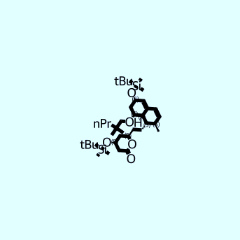 CCCC(C)(C)CO[C@H]1C[C@H](O[Si](C)(C)C(C)(C)C)C=C2C=C[C@@H](C)[C@H](CC[C@@H]3C[C@@H](O[Si](C)(C)C(C)(C)C)CC(=O)O3)[C@H]21